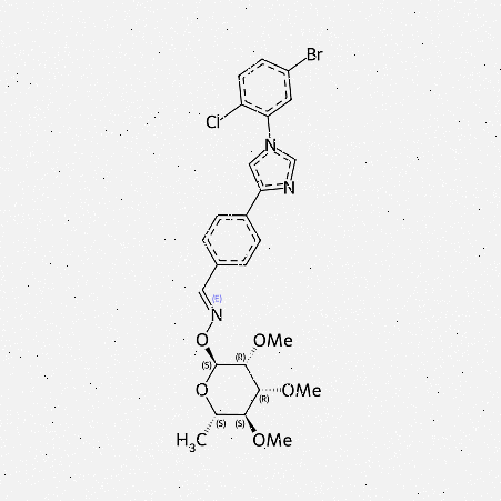 CO[C@@H]1[C@@H](OC)[C@H](C)O[C@@H](O/N=C/c2ccc(-c3cn(-c4cc(Br)ccc4Cl)cn3)cc2)[C@@H]1OC